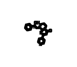 O=c1cc(-c2ccncc2)nc2n1CCCN2C[C@@H](O)c1ccccc1